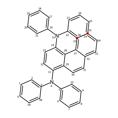 c1ccc(N(c2ccccc2)c2ccc(N(c3ccccc3)c3ccccc3)c3c2ccc2ccccc23)cc1